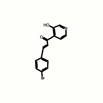 O=C(/C=C/c1ccc(Br)cc1)c1ccncc1O